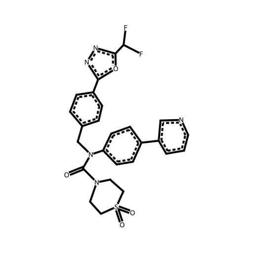 O=C(N1CCS(=O)(=O)CC1)N(Cc1ccc(-c2nnc(C(F)F)o2)cc1)c1ccc(-c2cccnc2)cc1